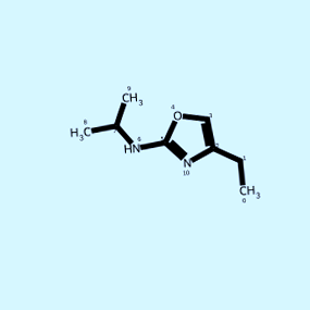 CCc1coc(NC(C)C)n1